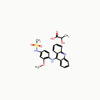 CC(O)C(=O)O.COc1cc(NS(C)(=O)=O)ccc1Nc1c2ccccc2nc2ccccc12